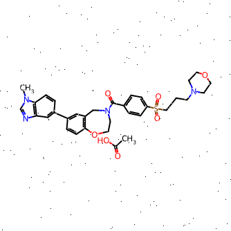 CC(=O)O.Cn1cnc2cc(-c3ccc4c(c3)CN(C(=O)c3ccc(S(=O)(=O)CCCN5CCOCC5)cc3)CCO4)ccc21